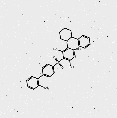 CCCCc1nc(O)c(S(=O)(=O)c2ccc(-c3ccncc3C)cc2)c(O)c1N1CCCCC1c1ccccc1